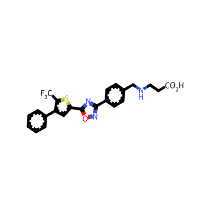 O=C(O)CCNCc1ccc(-c2noc(-c3cc(-c4ccccc4)c(C(F)(F)F)s3)n2)cc1